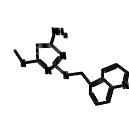 CSc1cc(N)nc(SCc2cccc3ncccc23)n1